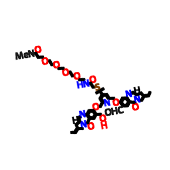 C/C=C1\C[C@H]2C=Nc3cc(OCc4cc(C(C)(C)SCC(=O)NCCOCCOCCOCCOCCC(=O)NC)cc(COc5cc6c(cc5CO)C(=O)N5C/C(=C/C)C[C@H]5C=N6)n4)c(C=O)cc3C(=O)N2C1